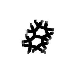 FC(F)(F)C1(F)C(F)(F)C(F)(F)C2C(F)(F)C(F)(F)C(F)(F)C(F)(F)C2(F)C1(F)F